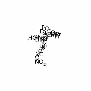 CCc1c(F)ccc2cc(O[Si](C(C)C)(C(C)C)C(C)C)cc(-c3ncc4c(N5CCC[C@@](C)(O)C5)nc(OC[C@@]56CCCN5[C@H](COC(=O)Oc5ccc([N+](=O)[O-])cc5)CC6)nc4c3F)c12